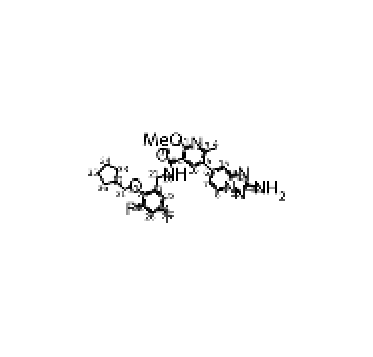 COc1nc(C)c(-c2ccn3nc(N)nc3c2)cc1C(=O)NCc1cc(F)cc(F)c1OCC1CCCC1